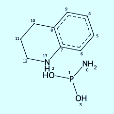 NP(O)O.c1ccc2c(c1)CCCN2